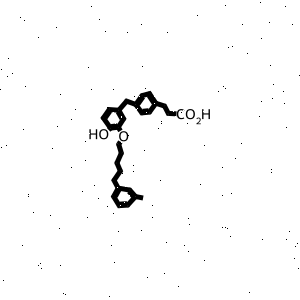 Cc1cccc(CCCCCOc2cc(Cc3ccc(CCC(=O)O)cc3)ccc2O)c1